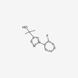 CC(C)(O)c1cnn(-c2ccccc2F)c1